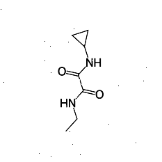 CCNC(=O)C(=O)NC1CC1